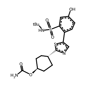 CC(C)(C)NS(=O)(=O)c1cc(O)ccc1-c1cnc([C@H]2CC[C@H](OC(N)=O)CC2)s1